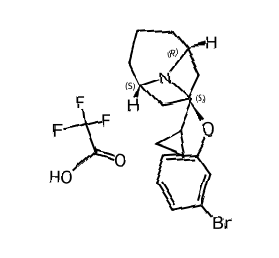 Brc1cccc(O[C@@H]2C[C@H]3CCC[C@@H](C2)N3CC2CC2)c1.O=C(O)C(F)(F)F